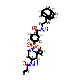 C=CC(=O)NC1CCN(S(=O)(=O)c2ccc(C(=O)NCCC34CC5CC(CC(C5)C3)C4)cc2)C2(CCC2)C1